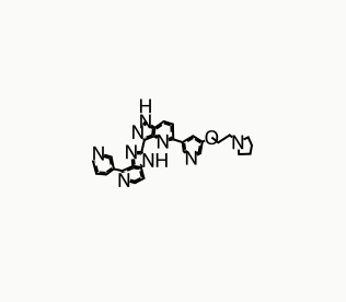 c1cncc(-c2nccc3[nH]c(-c4n[nH]c5ccc(-c6cncc(OCCN7CCCC7)c6)nc45)nc23)c1